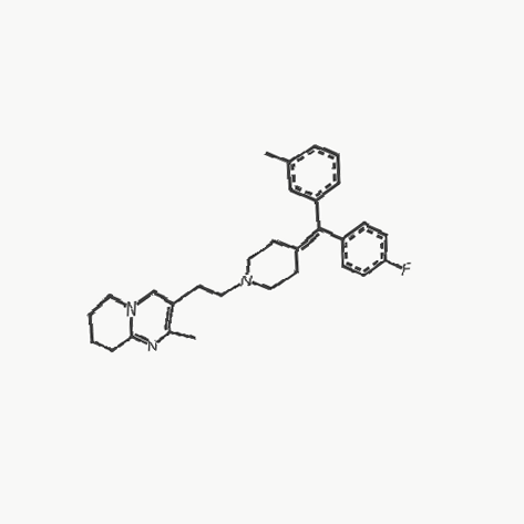 CC1=C(CCN2CCC(=C(c3ccc(F)cc3)c3cccc(C)c3)CC2)CN2CCCCC2=N1